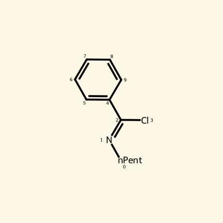 CCCCC/N=C(\Cl)c1ccccc1